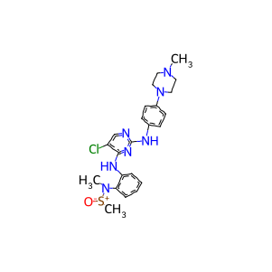 CN1CCN(c2ccc(Nc3ncc(Cl)c(Nc4ccccc4N(C)[S+](C)[O-])n3)cc2)CC1